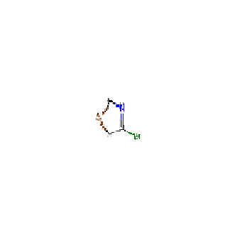 BrC1=NCS[C]1